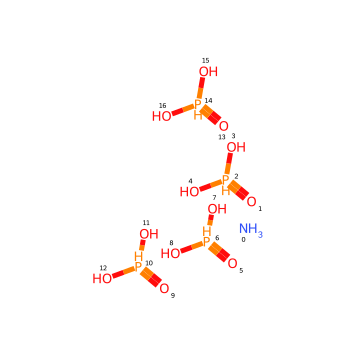 N.O=[PH](O)O.O=[PH](O)O.O=[PH](O)O.O=[PH](O)O